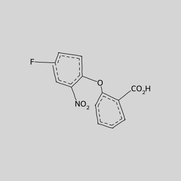 O=C(O)c1ccccc1Oc1ccc(F)cc1[N+](=O)[O-]